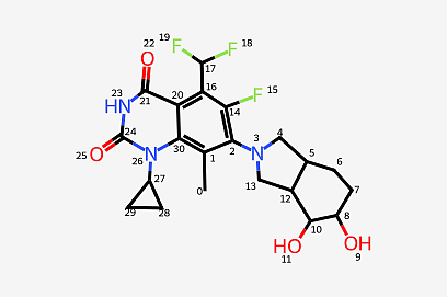 Cc1c(N2CC3CCC(O)C(O)C3C2)c(F)c(C(F)F)c2c(=O)[nH]c(=O)n(C3CC3)c12